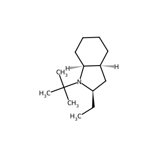 CC[C@@H]1C[C@@H]2CCCC[C@@H]2N1C(C)(C)C